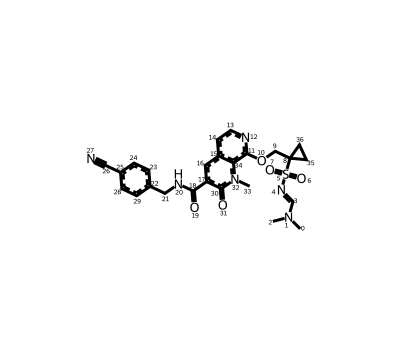 CN(C)/C=N/S(=O)(=O)C1(COc2nccc3cc(C(=O)NCc4ccc(C#N)cc4)c(=O)n(C)c23)CC1